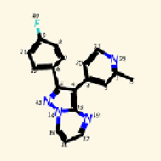 Cc1cc(-c2c(-c3ccc(F)cc3)nn3cccnc23)ccn1